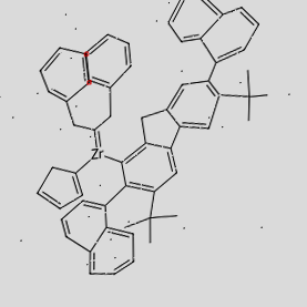 CC(C)(C)c1cc2c(cc1-c1cccc3ccccc13)Cc1c-2cc(C(C)(C)C)c(-c2cccc3ccccc23)[c]1[Zr]([C]1=CC=CC1)=[C](Cc1ccccc1)Cc1ccccc1